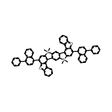 C[Si]1(C)c2cc3c(cc2-c2c1cc(-c1ccc(-c4ccccc4)c4ccccc14)c1oc4ccccc4c21)[Si](C)(C)c1cc(-c2ccc(-c4ccccc4)c4ccccc24)c2oc4ccccc4c2c1-3